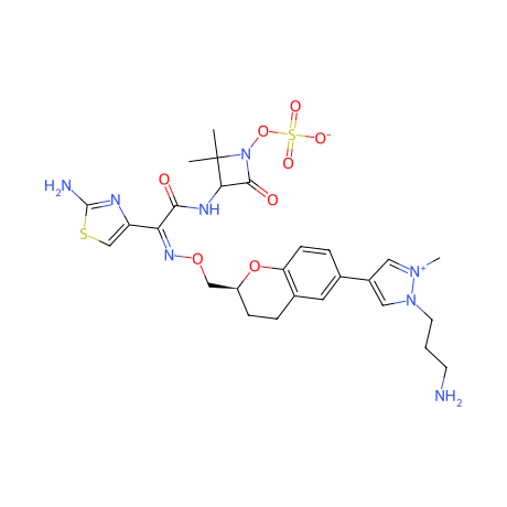 C[n+]1cc(-c2ccc3c(c2)CC[C@@H](CO/N=C(\C(=O)NC2C(=O)N(OS(=O)(=O)[O-])C2(C)C)c2csc(N)n2)O3)cn1CCCN